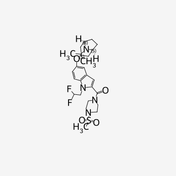 CC(C)N1[C@@H]2CC[C@H]1C[C@H](Oc1ccc3c(c1)cc(C(=O)N1CCN(S(C)(=O)=O)CC1)n3CC(F)F)C2